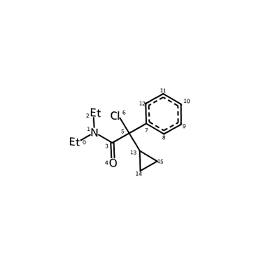 CCN(CC)C(=O)C(Cl)(c1ccccc1)C1CC1